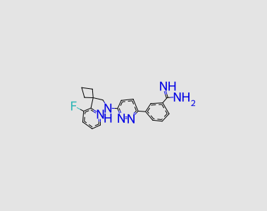 N=C(N)c1cccc(-c2ccc(NCC3(c4ncccc4F)CCC3)nn2)c1